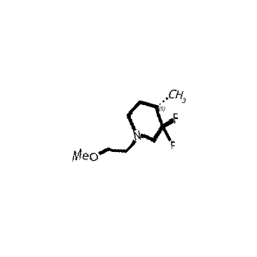 COCCN1CC[C@H](C)C(F)(F)C1